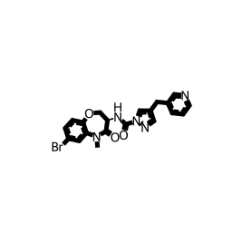 CN1C(=O)[C@@H](NC(=O)n2cc(Cc3cccnc3)cn2)COc2ccc(Br)cc21